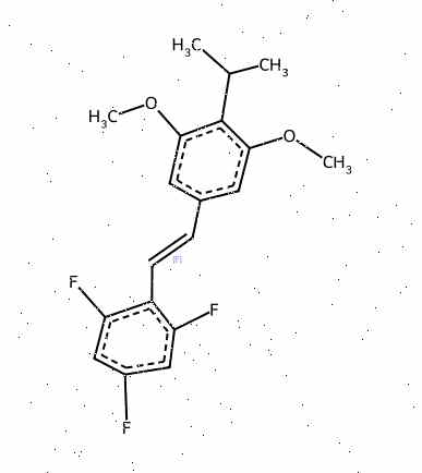 COc1cc(/C=C/c2c(F)cc(F)cc2F)cc(OC)c1C(C)C